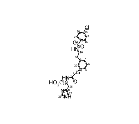 O=C(CSc1cccc(CCNS(=O)(=O)c2ccc(Cl)cc2)c1)N[C@@H](Cc1c[nH]cn1)C(=O)O